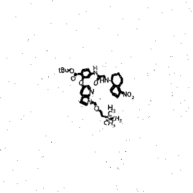 CC(C)(C)OC(=O)c1ccc(NC(=O)CN[C@@H]2CCCCc3c2cccc3[N+](=O)[O-])cc1Oc1cnc2c(ccn2COCC[Si](C)(C)C)c1